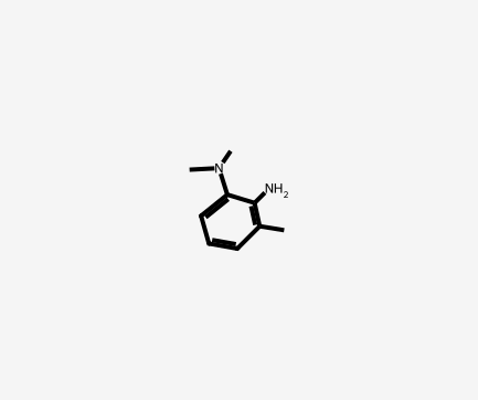 Cc1cccc(N(C)C)c1N